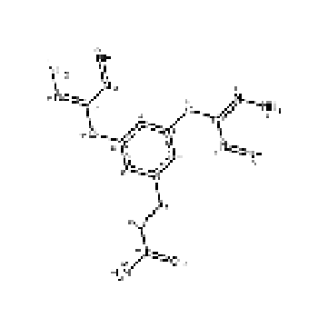 N=NC(=NN)Oc1cc(COC(N)=O)cc(OC(N=N)=NN)c1